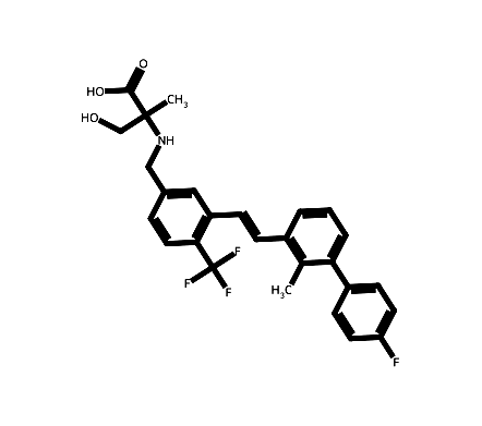 Cc1c(C=Cc2cc(CNC(C)(CO)C(=O)O)ccc2C(F)(F)F)cccc1-c1ccc(F)cc1